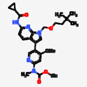 COc1cc(N(C)C(=O)OC(C)(C)C)ncc1-c1cn(COCC[Si](C)(C)C)c2nc(NC(=O)C3CC3)ccc12